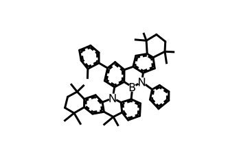 Cc1ccccc1-c1cc2c3c(c1)N1c4cc5c(cc4C(C)(C)c4cccc(c41)B3N(c1ccccc1)c1cc3c(cc1-2)C(C)(C)CCC3(C)C)C(C)(C)CCC5(C)C